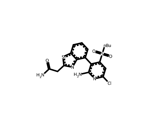 CCCCS(=O)(=O)c1cc(Cl)nc(N)c1-c1cccc2sc(CC(N)=O)nc12